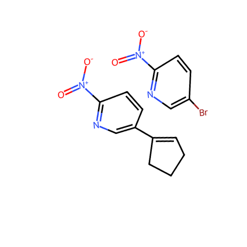 O=[N+]([O-])c1ccc(Br)cn1.O=[N+]([O-])c1ccc(C2=CCCC2)cn1